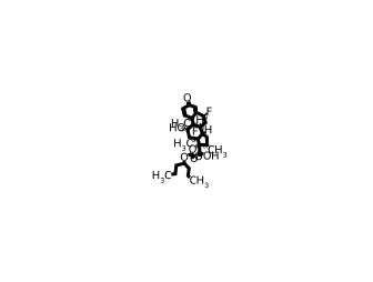 CCCC(CCC)OC(=O)O[C@]1(C(=O)O)[C@H](C)C[C@H]2[C@@H]3C[C@H](F)C4=CC(=O)C=C[C@]4(C)[C@@]3(F)[C@@H](O)C[C@@]21C